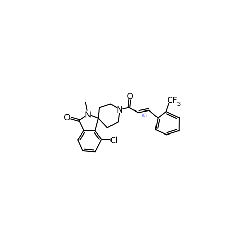 CN1C(=O)c2cccc(Cl)c2C12CCN(C(=O)/C=C/c1ccccc1C(F)(F)F)CC2